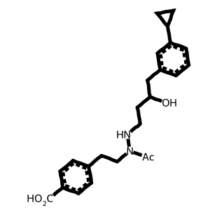 CC(=O)N(CCc1ccc(C(=O)O)cc1)NCCC(O)Cc1cccc(C2CC2)c1